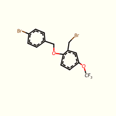 FC(F)(F)Oc1ccc(OCc2ccc(Br)cc2)c(CBr)c1